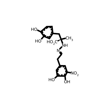 C[C@@](Cc1ccc(O)c(O)c1)(N/N=C/Cc1cc(O)c(O)c([N+](=O)[O-])c1)C(=O)O